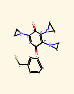 BrCc1ccccc1.O=C1C=C(N2CC2)C(=O)C(N2CC2)=C1N1CC1